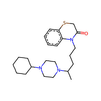 CC(CCCN1C(=O)CSc2ccccc21)N1CCN(C2CCCCC2)CC1